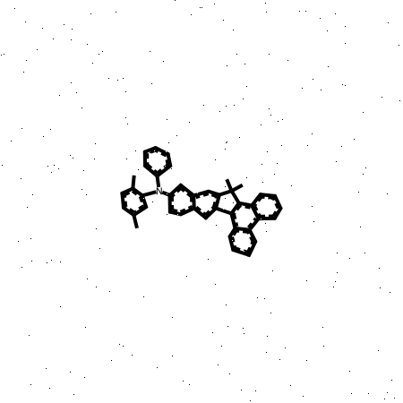 Cc1ccc(C)c(N(c2ccccc2)c2ccc3cc4c(cc3c2)C(C)(C)c2c-4c3ccccc3c3ccccc23)c1